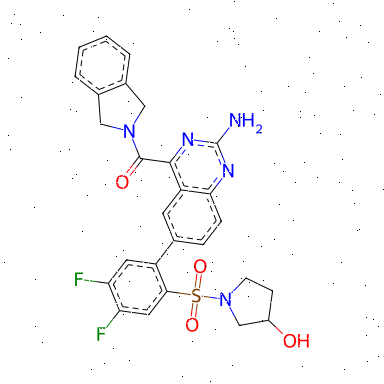 Nc1nc(C(=O)N2Cc3ccccc3C2)c2cc(-c3cc(F)c(F)cc3S(=O)(=O)N3CCC(O)C3)ccc2n1